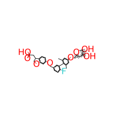 Cc1cc(OC[C@@H]2C[C@@H](O)[C@@H](O)CO2)cc(C)c1-c1cc(COc2ccc3c(c2)OCC3CC(=O)O)ccc1F